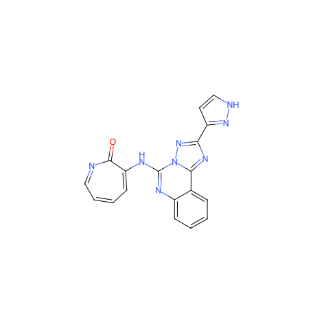 O=c1nccccc1Nc1nc2ccccc2c2nc(-c3cc[nH]n3)nn12